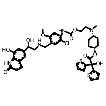 COc1cc(NC(=O)OCCN(C)[C@H]2CC[C@H](OC(=O)C(O)(c3cccs3)c3cccs3)CC2)c(Cl)cc1CNC[C@H](O)c1cc(O)c2[nH]c(=O)ccc2c1